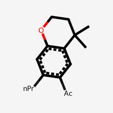 CCCc1cc2c(cc1C(C)=O)C(C)(C)CCO2